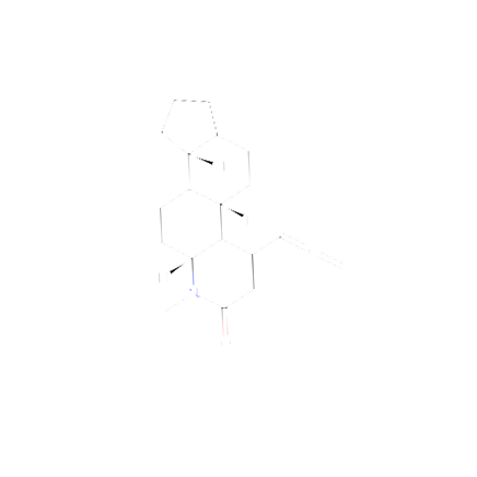 C=C=CC1CC(=O)N(C)[C@@H]2CC[C@H]3[C@@H]4CCC[C@@]4(C)CC[C@@H]3[C@@]12C